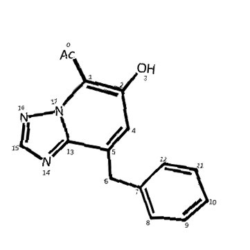 CC(=O)c1c(O)cc(Cc2ccccc2)c2ncnn12